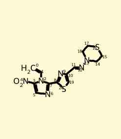 C=Cn1c([N+](=O)[O-])cnc1-c1nc(C=NN2CCSCC2)cs1